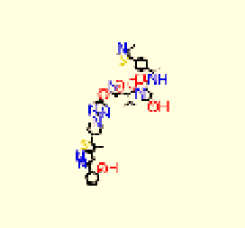 Cc1ncsc1-c1ccc([C@H](C)NC(=O)[C@@H]2C[C@@H](O)CN2C(=O)[C@@H](c2cc(Oc3cnc(N4CCC(c5sc6nnc(-c7ccccc7O)cc6c5C)CC4)nc3)no2)C(C)C)cc1